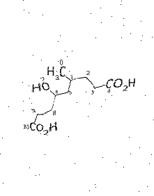 CC(CCC(=O)O)CC(O)CCC(=O)O